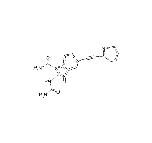 NC(=O)Nc1[nH]c2cc(C#Cc3ccccn3)ccc2c1C(N)=O